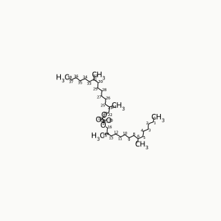 CCCCCCC(C)CCCCCCC(C)COS(=O)(=O)OCC(C)CCCCCCC(C)CCCCCC